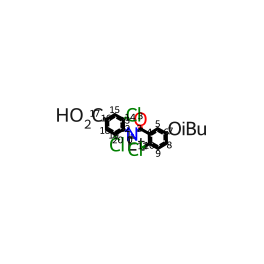 CCN(C(=O)c1cc(OCC(C)C)ccc1Cl)c1c(Cl)cc(C(=O)O)cc1Cl